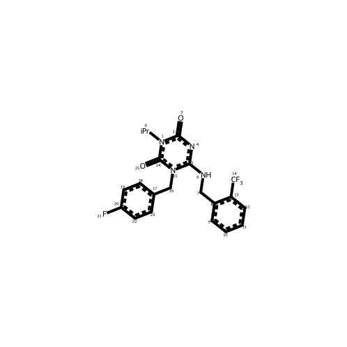 CC(C)n1c(=O)nc(NCc2ccccc2C(F)(F)F)n(Cc2ccc(F)cc2)c1=O